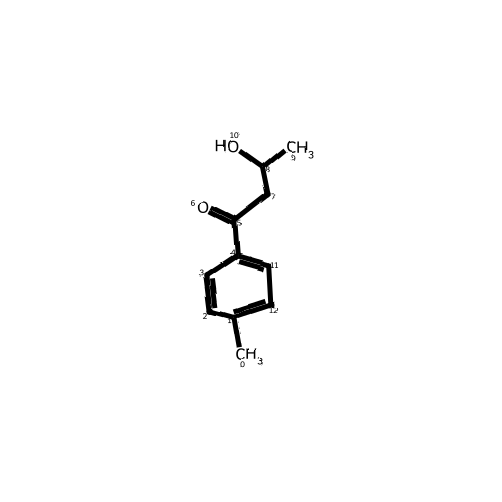 Cc1ccc(C(=O)CC(C)O)cc1